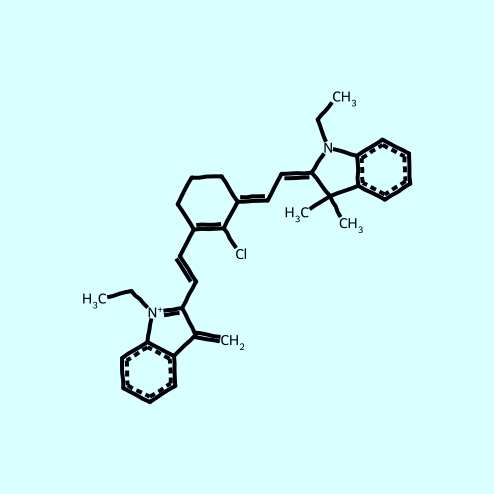 C=C1C(/C=C/C2=C(Cl)C(=C/C=C3/N(CC)c4ccccc4C3(C)C)/CCC2)=[N+](CC)c2ccccc21